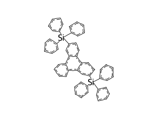 c1ccc([Si](c2ccccc2)(c2ccccc2)c2ccc3c4ccc([Si](c5ccccc5)(c5ccccc5)c5ccccc5)cc4c4ccccc4c3c2)cc1